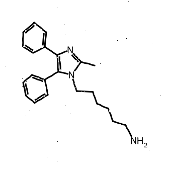 Cc1nc(-c2ccccc2)c(-c2ccccc2)n1CCCCCCN